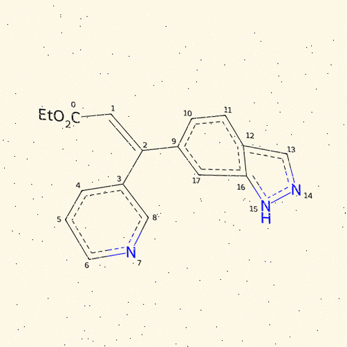 CCOC(=O)/C=C(\c1cccnc1)c1ccc2cn[nH]c2c1